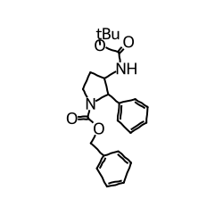 CC(C)(C)OC(=O)NC1CCN(C(=O)OCc2ccccc2)C1c1ccccc1